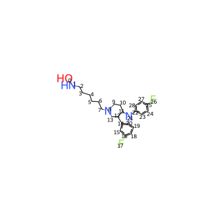 ONCCCCCCN1CCC2C(C1)c1cc(F)ccc1N2c1ccc(F)cc1